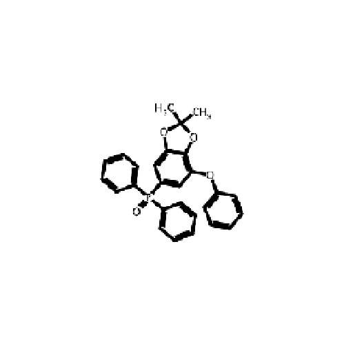 CC1(C)Oc2cc(P(=O)(c3ccccc3)c3ccccc3)cc(Oc3ccccc3)c2O1